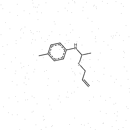 C=CCSC(C)Nc1ccc(C)cc1